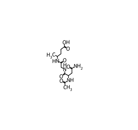 CC(=O)NC(CC(N)=O)C(=O)NCC(=O)NC(C)CCC(=O)O